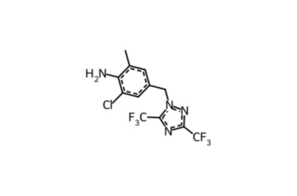 Cc1cc(Cn2nc(C(F)(F)F)nc2C(F)(F)F)cc(Cl)c1N